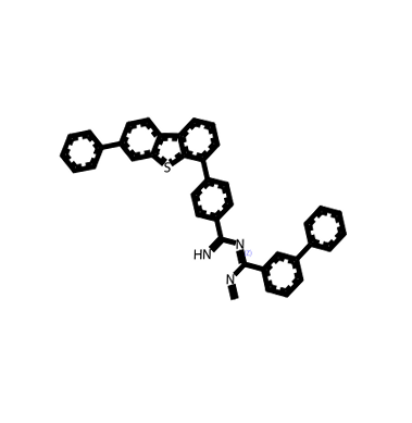 C=N/C(=N\C(=N)c1ccc(-c2cccc3c2sc2cc(-c4ccccc4)ccc23)cc1)c1cccc(-c2ccccc2)c1